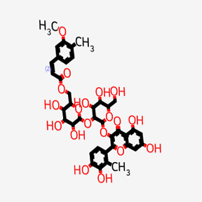 COc1cc(/C=C\C(=O)OCC2OC(OC3C(Oc4c(-c5ccc(O)c(O)c5C)oc5cc(O)cc(O)c5c4=O)OC(CO)C(O)C3O)C(O)C(O)C2O)ccc1C